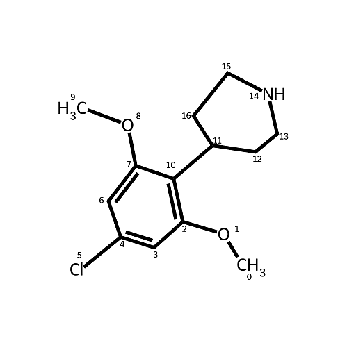 COc1cc(Cl)cc(OC)c1C1CCNCC1